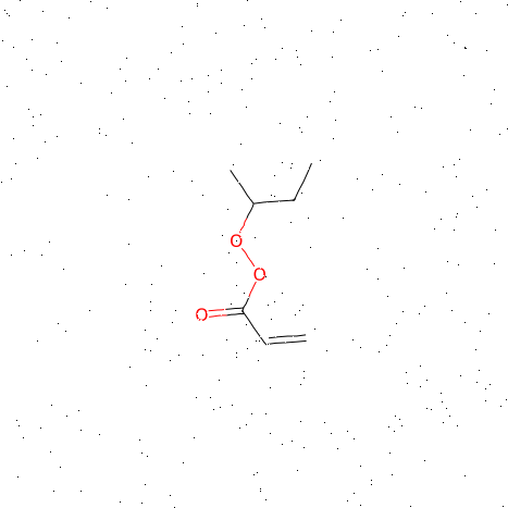 C=CC(=O)OOC(C)CC